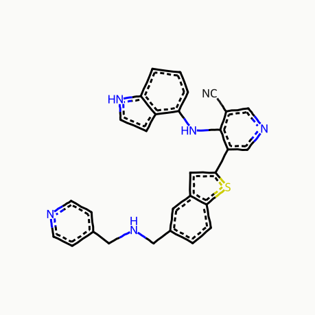 N#Cc1cncc(-c2cc3cc(CNCc4ccncc4)ccc3s2)c1Nc1cccc2[nH]ccc12